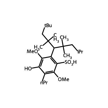 CCCc1c(O)c(OC)c(C(C(C)(C)CC(C)C)C(C)(C)CC(C)(C)C)c(S(=O)(=O)O)c1OC